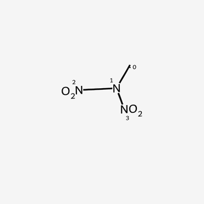 [CH2]N([N+](=O)[O-])[N+](=O)[O-]